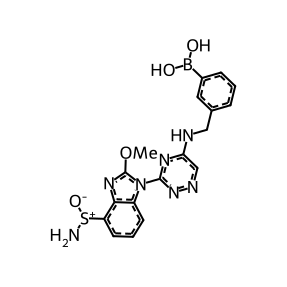 COc1nc2c([S+](N)[O-])cccc2n1-c1nncc(NCc2cccc(B(O)O)c2)n1